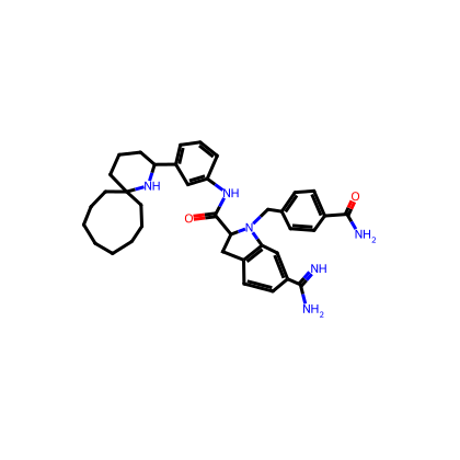 N=C(N)c1ccc2c(c1)N(Cc1ccc(C(N)=O)cc1)C(C(=O)Nc1cccc(C3CCCC4(CCCCCCCC4)N3)c1)C2